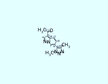 CC(=O)c1cnn2cc(-c3c(C)nnn3C)ccc12